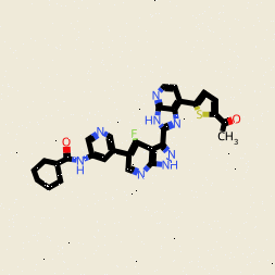 CC(=O)c1ccc(-c2ccnc3[nH]c(-c4n[nH]c5ncc(-c6cncc(NC(=O)C7CCCCC7)c6)c(F)c45)nc23)s1